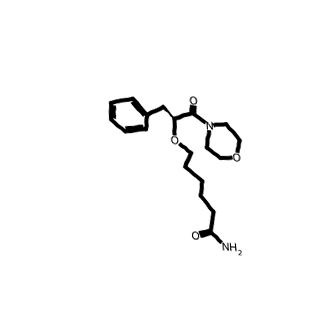 NC(=O)CCCCCO[C@@H](Cc1ccccc1)C(=O)N1CCOCC1